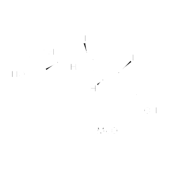 COCC1C[C@H]2[C@H](CC[C@@H]3[C@@H]2CC[C@]2(C)C(C(C)O)CC[C@@H]32)CC1(C)O